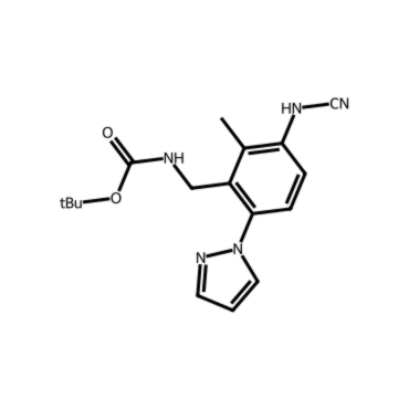 Cc1c(NC#N)ccc(-n2cccn2)c1CNC(=O)OC(C)(C)C